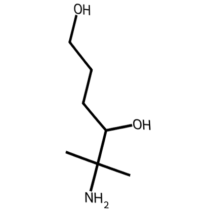 CC(C)(N)C(O)CCCO